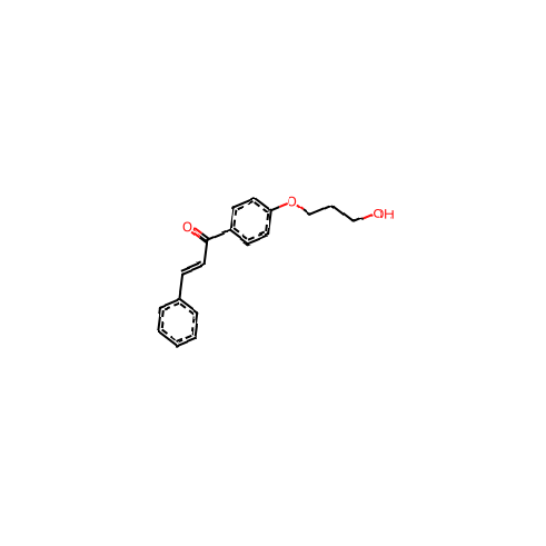 O=C(/C=C/c1ccccc1)c1ccc(OCCCO)cc1